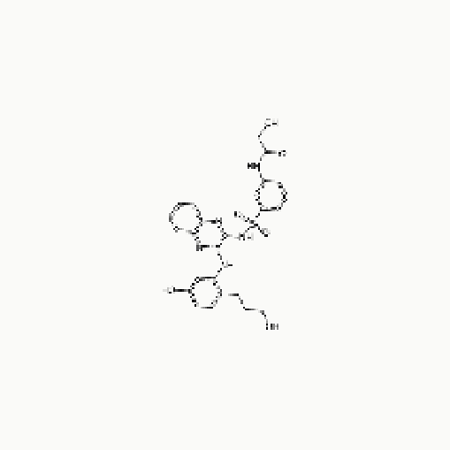 O=C(CO)Nc1cccc(S(=O)(=O)Nc2nc3ccccc3nc2Nc2cc(O)ccc2CCCO)c1